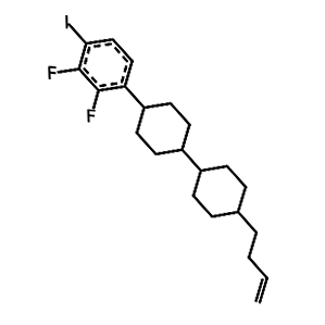 C=CCCC1CCC(C2CCC(c3ccc(I)c(F)c3F)CC2)CC1